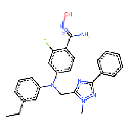 CCc1cccc(N(Cc2nc(-c3ccccc3)nn2C)c2ccc(/C(N)=N/O)c(F)c2)c1